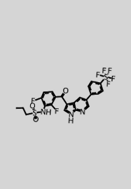 CCCS(=O)(=O)Nc1c(F)ccc(C(=O)c2c[nH]c3ncc(-c4ccc(S(F)(F)(F)(F)F)cc4)cc23)c1F